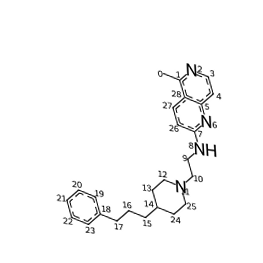 Cc1nccc2nc(NCCN3CCC(CCCc4ccccc4)CC3)ccc12